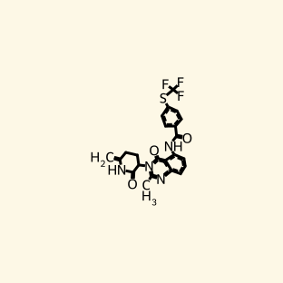 C=C1CCC(n2c(C)nc3cccc(NC(=O)c4ccc(SC(F)(F)F)cc4)c3c2=O)C(=O)N1